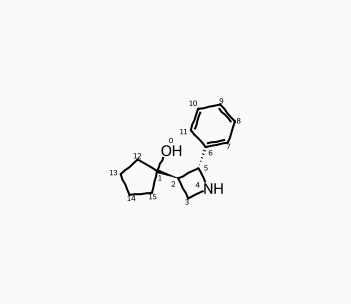 OC1([C@@H]2CN[C@H]2c2ccccc2)CCCC1